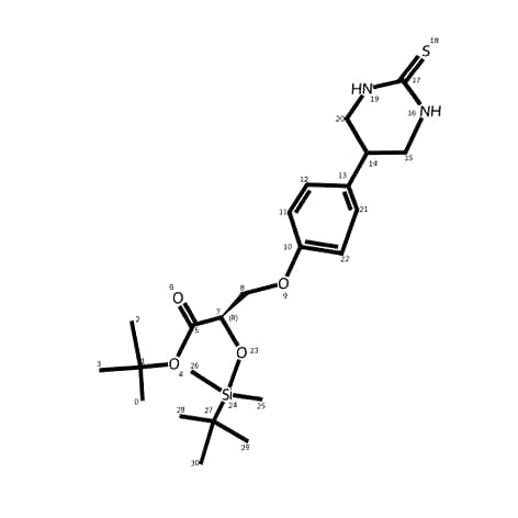 CC(C)(C)OC(=O)[C@@H](COc1ccc(C2CNC(=S)NC2)cc1)O[Si](C)(C)C(C)(C)C